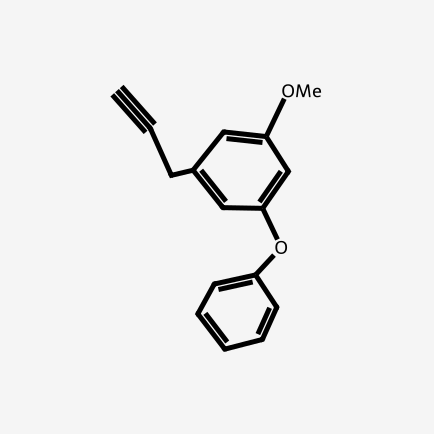 C#CCc1cc(OC)cc(Oc2ccccc2)c1